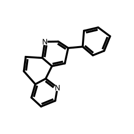 c1ccc(-c2cnc3ccc4cccnc4c3c2)cc1